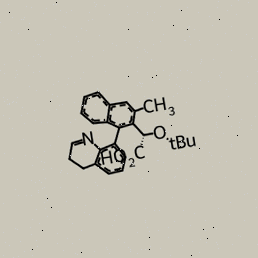 Cc1cc2ccccc2c(-c2cccc3c2N=CCC3)c1[C@H](OC(C)(C)C)C(=O)O